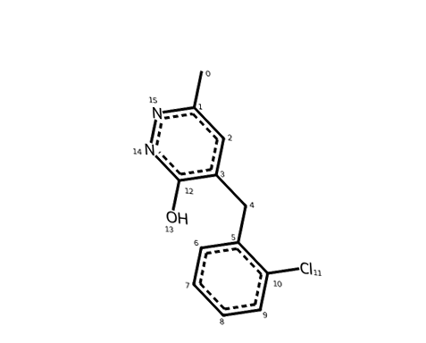 Cc1cc(Cc2ccccc2Cl)c(O)nn1